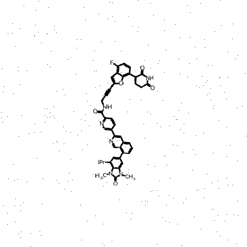 CC(C)c1cc(-c2cccc3cc(-c4ccc(C(=O)NCC#Cc5cc6c(F)ccc(C7CCC(=O)NC7=O)c6o5)nc4)ncc23)cc2c1n(C)c(=O)n2C